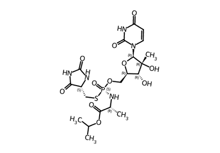 CC(C)OC(=O)[C@@H](C)N[P@](=O)(OC[C@H]1O[C@@H](n2ccc(=O)[nH]c2=O)[C@](C)(O)[C@@H]1O)SC[C@H]1NC(=O)NC1=O